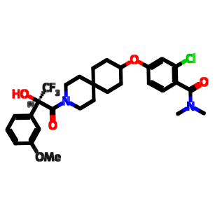 COc1cccc([C@@](O)(C(=O)N2CCC3(CCC(Oc4ccc(C(=O)N(C)C)c(Cl)c4)CC3)CC2)C(F)(F)F)c1